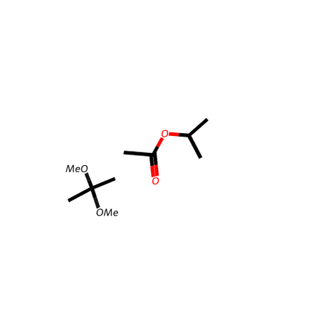 CC(=O)OC(C)C.COC(C)(C)OC